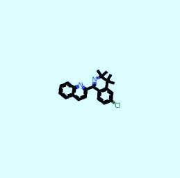 CC1(C)N=C(c2ccc3ccccc3n2)c2ccc(Cl)cc2C1(C)C